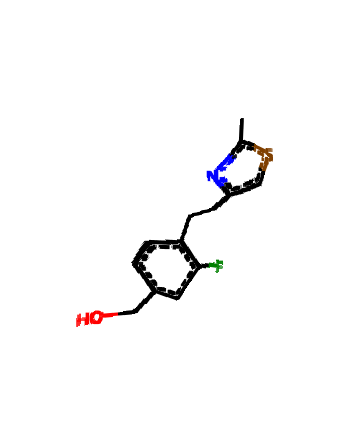 Cc1nc(CCc2ccc(CO)cc2F)cs1